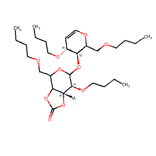 CCCCOCC1OC(O[C@@H]2C(COCCCC)OC=C[C@H]2OCCCC)[C@@H](OCCCC)[C@@H]2OC(=O)OC12